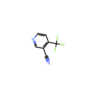 N#Cc1cn[c]cc1C(F)(F)F